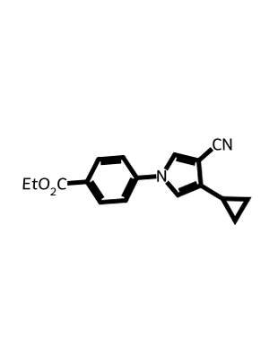 CCOC(=O)c1ccc(-n2cc(C#N)c(C3CC3)c2)cc1